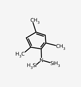 Cc1cc(C)c(N([SiH3])[SiH3])c(C)c1